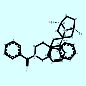 O=C(c1ccccc1)N1CCC(CCN2[C@@H]3CC[C@H]2C[C@@H](C2C=CC=CC2)C3)(c2ccccc2)CC1